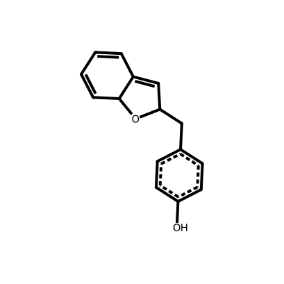 Oc1ccc(CC2C=C3C=CC=CC3O2)cc1